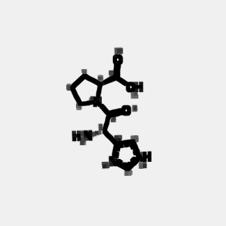 N[C@H](C(=O)N1CCC[C@H]1C(=O)O)c1c[nH]cn1